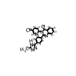 Cc1nnc(-c2ccc(-c3nc4ccccc4c(=O)n3-c3ccc(Cl)cn3)cc2)[nH]1